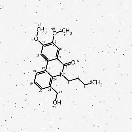 CCCCn1c(=O)c2cc(OC)c(OC)cc2c2cccc(CO)c21